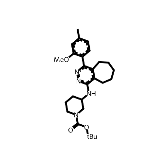 COc1cc(C)ccc1-c1nnc(NC2CCCN(C(=O)OC(C)(C)C)C2)c2c1CCCCC2